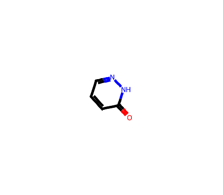 O=c1[c]ccn[nH]1